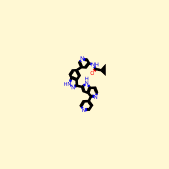 O=C(Nc1cncc(-c2ccc3[nH]nc(-c4cc5c(-c6ccncc6)nccc5[nH]4)c3c2)c1)C1CC1